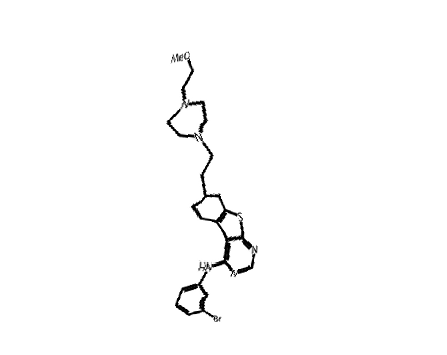 COCCN1CCN(CCC2CCc3c(sc4ncnc(Nc5cccc(Br)c5)c34)C2)CC1